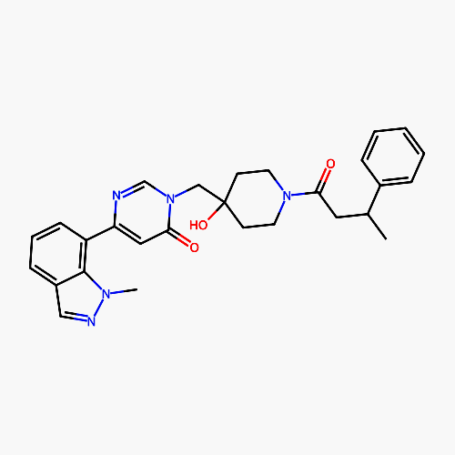 CC(CC(=O)N1CCC(O)(Cn2cnc(-c3cccc4cnn(C)c34)cc2=O)CC1)c1ccccc1